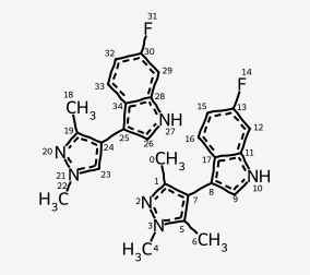 Cc1nn(C)c(C)c1-c1c[nH]c2cc(F)ccc12.Cc1nn(C)cc1-c1c[nH]c2cc(F)ccc12